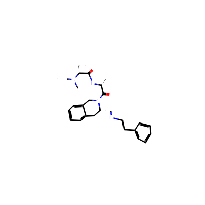 C[C@@H](C(=O)N[C@H](C(=O)N1Cc2ccccc2C[C@H]1CNCCc1ccccc1)C(C)(C)C)N(C)C(=O)O